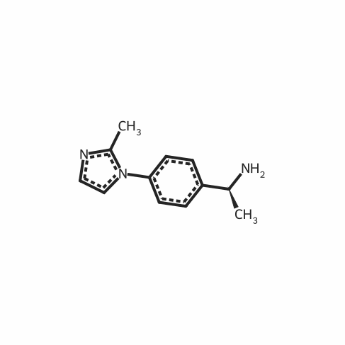 Cc1nccn1-c1ccc([C@H](C)N)cc1